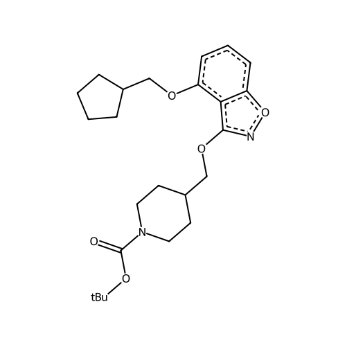 CC(C)(C)OC(=O)N1CCC(COc2noc3cccc(OCC4CCCC4)c23)CC1